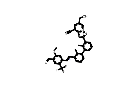 COc1cc(/C=C/c2cccc(-c3cccc(-c4nc5c(C#N)cc(CO)cn5n4)c3C)c2C)c(C(F)(F)F)cc1C=O